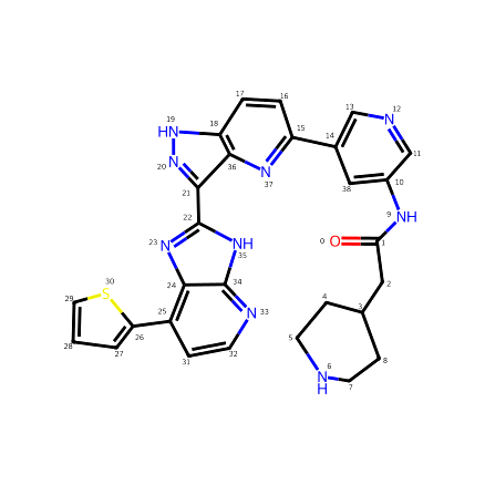 O=C(CC1CCNCC1)Nc1cncc(-c2ccc3[nH]nc(-c4nc5c(-c6cccs6)ccnc5[nH]4)c3n2)c1